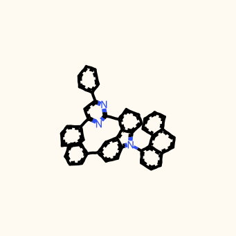 c1ccc(-c2ccc3c(c2)c2c(-c4nc(-c5ccccc5)cc(-c5ccccc5)n4)cccc2n3-c2cccc3ccc4ccccc4c23)cc1